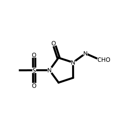 CS(=O)(=O)N1CCN([N]C=O)C1=O